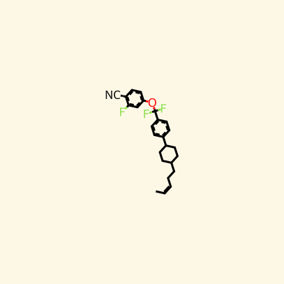 C/C=C\CCC1CCC(c2ccc(C(F)(F)Oc3ccc(C#N)c(F)c3)cc2)CC1